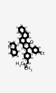 CCc1ccc(C2C(=O)c3c(ccc4c3ccc3ccccc34)CC2c2ccc(CN(C)C)cc2)cc1.c1ccc2ncccc2c1